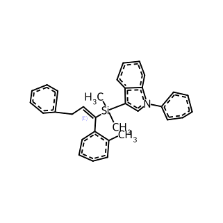 Cc1ccccc1/C(=C\Cc1ccccc1)[Si](C)(C)c1cn(-c2ccccc2)c2ccccc12